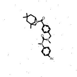 CC(=O)c1ccc(N(C)C(=O)N(C)Cc2ccc(C(=O)N3CC4(C)CC3CC(C)(C)C4)cc2)cc1